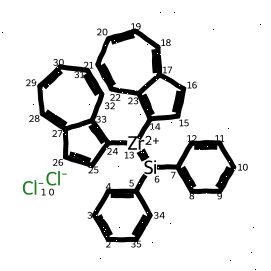 [Cl-].[Cl-].c1ccc([Si](c2ccccc2)=[Zr+2]([c]2ccc3cccccc2-3)[c]2ccc3cccccc2-3)cc1